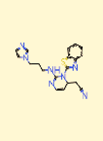 N#CCC1C=CN=C(NCCCn2ccnc2)N1c1nc2ccccc2s1